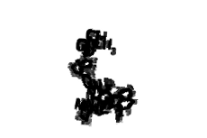 C#Cc1c(F)ccc2cccc(-c3nc(OC)c4c(N5CC6CCC(C6)C5)nc(OC[C@]56CCCN5[C@@H](COC(=O)N(C)C)CC6)nc4c3F)c12